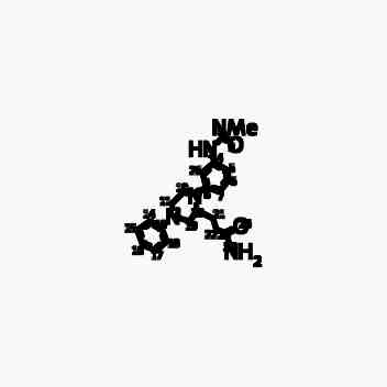 CNC(=O)Nc1cccc(N2CCN(c3ccccc3)CC2CCC(N)=O)c1